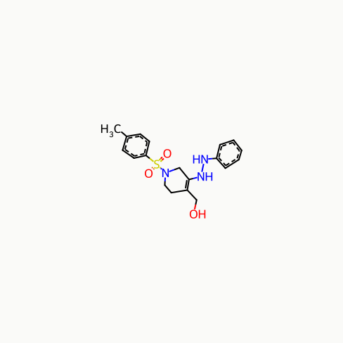 Cc1ccc(S(=O)(=O)N2CCC(CO)=C(NNc3ccccc3)C2)cc1